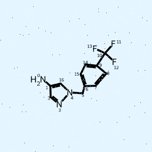 Nc1cnn(Cc2ccc(C(F)(F)F)cc2)c1